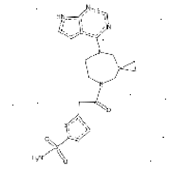 NS(=O)(=O)c1ccc(CC(=O)N2CCN(c3ncnc4[nH]ccc34)CC3(CC3)C2)s1